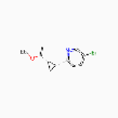 C=C(OCC)[C@H]1C[C@H]1c1ccc(Br)cn1